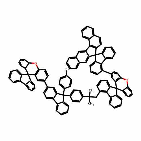 CC(C)(C)c1ccc(C2(c3ccc(C(C)(C)Cc4cccc5c4-c4ccccc4C54c5ccccc5Oc5ccc(-c6cccc7c6-c6ccccc6C76c7cc8ccccc8cc7-c7c6ccc6ccccc76)cc54)cc3)c3ccccc3-c3ccc(-c4ccc5c(c4)C4(c6ccccc6-c6ccccc64)C4C=CC=CC4O5)cc32)cc1